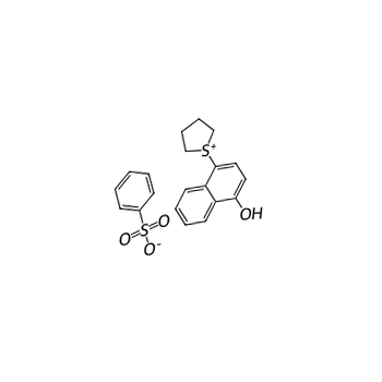 O=S(=O)([O-])c1ccccc1.Oc1ccc([S+]2CCCC2)c2ccccc12